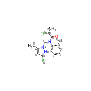 CCc1ccccc1N(Cn1nc(Br)cc1C)C(=O)C(C)Cl